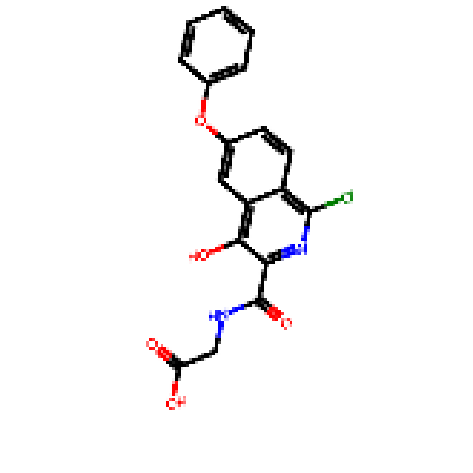 O=C(O)CNC(=O)c1nc(Cl)c2ccc(Oc3ccccc3)cc2c1O